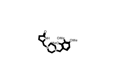 COc1ccc(CN2CCN(CC3CCC(=O)N3)CC2)c(OC)c1OC